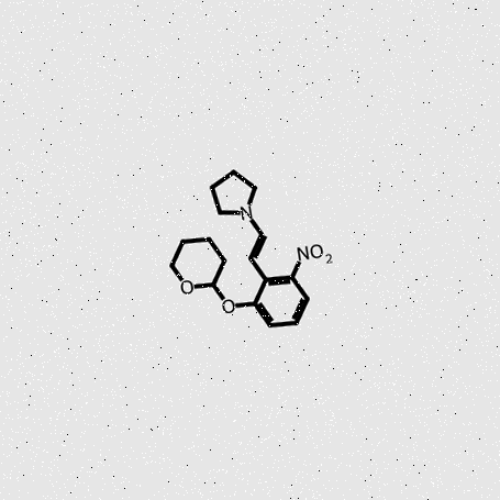 O=[N+]([O-])c1cccc(OC2CCCCO2)c1C=CN1CCCC1